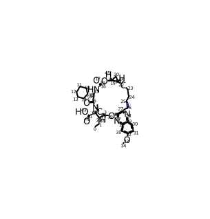 CC[C@@H]1[C@@H]2CN(C(=O)[C@H](C3CCCCC3)NC(=O)O[C@@H]3C[C@H]3CCC/C=C/c3nc4ccc(OC)cc4nc3O2)[C@@H]1C(=O)O